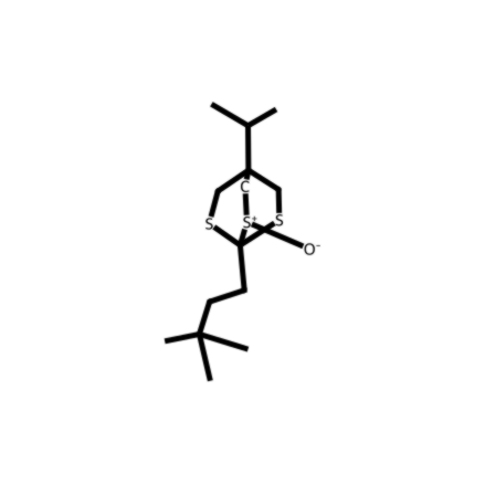 CC(C)C12CSC(CCC(C)(C)C)(SC1)[S+]([O-])C2